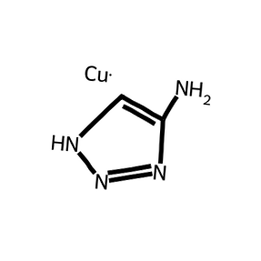 Nc1c[nH]nn1.[Cu]